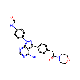 Nc1ncnc2c1c(-c1ccc(CC(=O)N3CCOCC3)cc1)nn2-c1ccc(NC=O)cc1